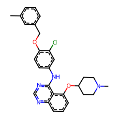 Cc1cccc(COc2ccc(Nc3ncnc4cccc(OC5CCN(C)CC5)c34)cc2Cl)c1